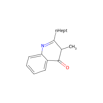 CCCCCCCC1=Nc2ccccc2C(=O)C1C